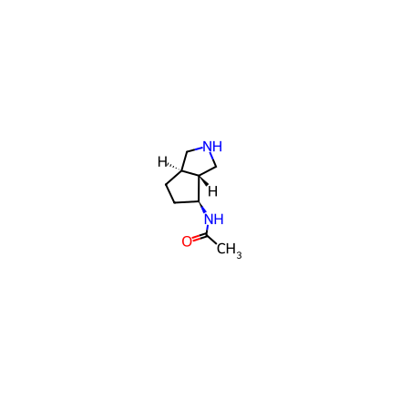 CC(=O)N[C@H]1CC[C@H]2CNC[C@@H]21